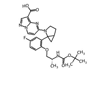 C[C@H](COc1ccc(F)cc1C12CC1CCN2c1ccn2ncc(C(=O)O)c2n1)NC(=O)OC(C)(C)C